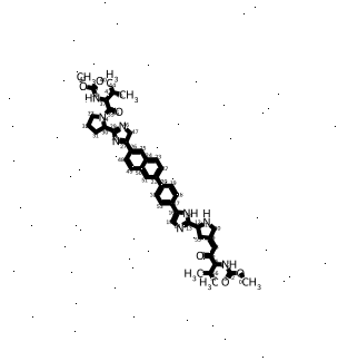 COC(=O)NC(C(=O)C=C1CNC(c2ncc(-c3ccc(-c4ccc5cc(C6=NC(C7CCCN7C(=O)C(NC(=O)OC)C(C)C)=NC6)ccc5c4)cc3)[nH]2)C1)C(C)C